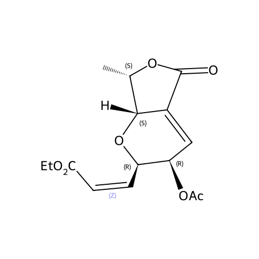 CCOC(=O)/C=C\[C@H]1O[C@H]2C(=C[C@H]1OC(C)=O)C(=O)O[C@H]2C